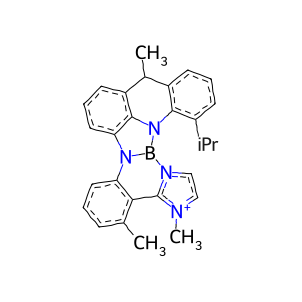 Cc1cccc2c1-c1n(cc[n+]1C)B1N2c2cccc3c2N1c1c(C(C)C)cccc1C3C